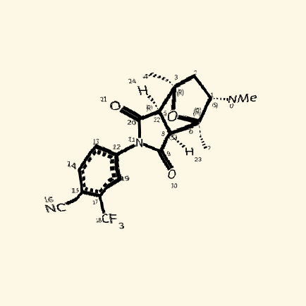 CN[C@H]1C[C@@]2(C)O[C@]1(C)[C@H]1C(=O)N(c3ccc(C#N)c(C(F)(F)F)c3)C(=O)[C@H]12